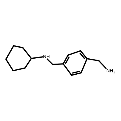 NCc1ccc(CNC2CCCCC2)cc1